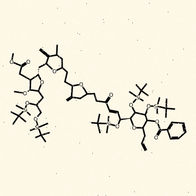 C=CCC1O[C@@H](C(/C=C/C(=O)CCC2CC(=C)C(CCC3CC(C)C(=C)C(C[C@@H]4OC(CC(CO[Si](C)(C)C(C)(C)C)O[Si](C)(C)C(C)(C)C)[C@H](OC)C4CC(=O)OC)O3)O2)O[Si](C)(C)C(C)(C)C)C(O[Si](C)(C)C(C)(C)C)C(O[Si](C)(C)C(C)(C)C)C1OC(=O)c1ccccc1